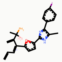 BC(C)(P)C(=C)/C(=C\C=C)c1ccc(-c2nc(-c3ccc(I)cc3)c(C)[nH]2)o1